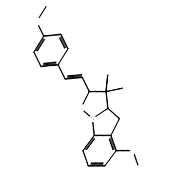 COc1ccc(C=CC2ON3c4cccc(OC)c4CC3C2(C)C)cc1